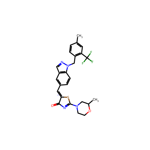 Cc1ccc(Cn2ncc3cc(/C=C4\SC(N5CCOC(C)C5)=NC4=O)ccc32)c(C(F)(F)F)c1